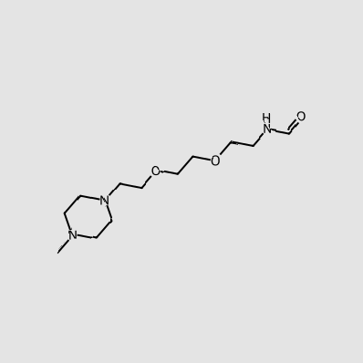 CN1CCN(CCOCCOCCNC=O)CC1